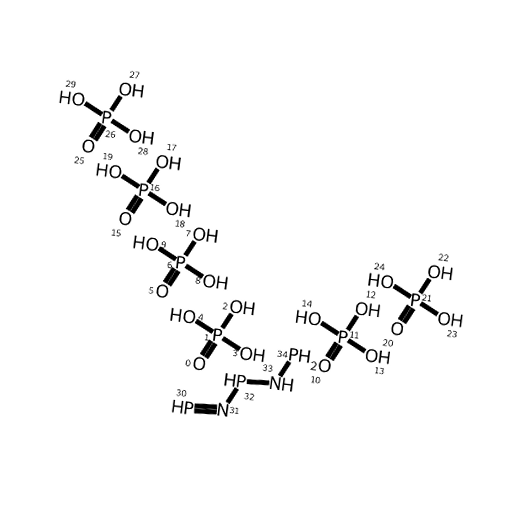 O=P(O)(O)O.O=P(O)(O)O.O=P(O)(O)O.O=P(O)(O)O.O=P(O)(O)O.O=P(O)(O)O.P=NPNP